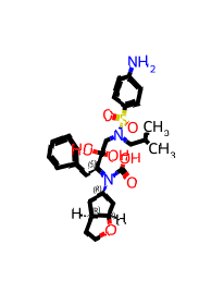 CC(C)CN(CC(O)(O)[C@H](Cc1ccccc1)N(C(=O)O)[C@@H]1C[C@@H]2CCO[C@@H]2C1)S(=O)(=O)c1ccc(N)cc1